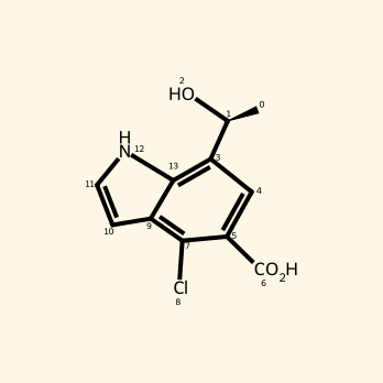 C[C@H](O)c1cc(C(=O)O)c(Cl)c2cc[nH]c12